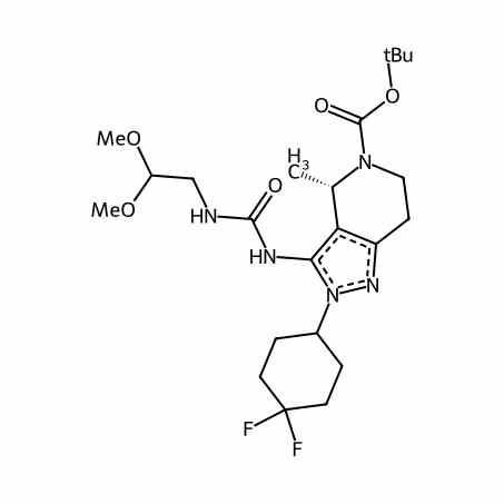 COC(CNC(=O)Nc1c2c(nn1C1CCC(F)(F)CC1)CCN(C(=O)OC(C)(C)C)[C@H]2C)OC